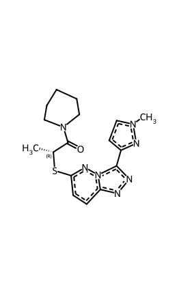 C[C@@H](Sc1ccc2nnc(-c3ccn(C)n3)n2n1)C(=O)N1CCCCC1